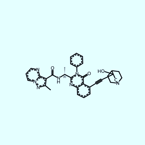 Cc1nn2cccnc2c1C(=O)N[C@H](C)c1nc2cccc(C#CC3(O)CN4CCC3CC4)c2c(=O)n1-c1ccccc1